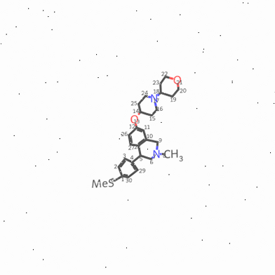 CSc1ccc(C2CN(C)Cc3cc(OC4CCN(C5CCOCC5)CC4)ccc32)cc1